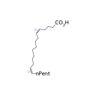 CCCCC/C=C\CCCCCCC/C=C\CCCC(=O)O